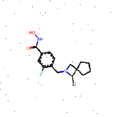 CC[C@H]1N(Cc2ccc(C(=O)NO)cc2F)CC12CCCC2